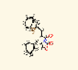 O=C(CCc1cc2ccccc2s1)N1C(=O)OC[C@@H]1Cc1ccccc1